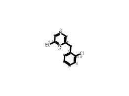 CCc1cncc(Cc2ccccc2Cl)n1